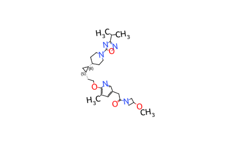 COC1CN(C(=O)Cc2cnc(OCC[C@@H]3C[C@@H]3C3CCN(c4nc(C(C)C)no4)CC3)c(C)c2)C1